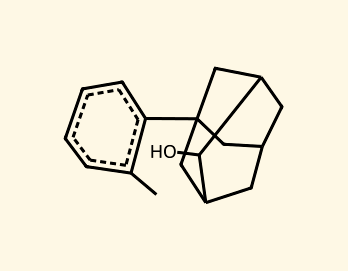 Cc1ccccc1C12CC3CC(C1)C(O)C(C3)C2